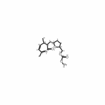 CC1=NC(=O)C(C[C@H]2CCC(COC(=O)OC(C)C)O2)C(C)C=C1